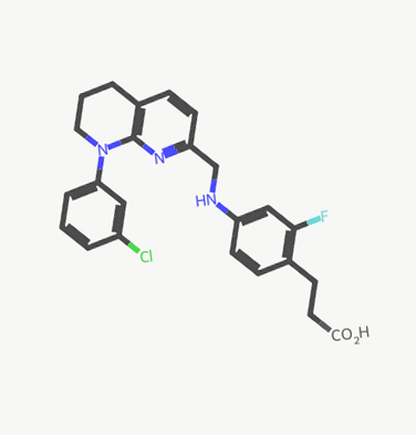 O=C(O)CCc1ccc(NCc2ccc3c(n2)N(c2cccc(Cl)c2)CCC3)cc1F